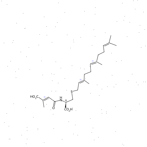 CC(C)=CCC/C(C)=C/CC/C(C)=C/CSC[C@H](NC(=O)/C=C(\C)C(=O)O)C(=O)O